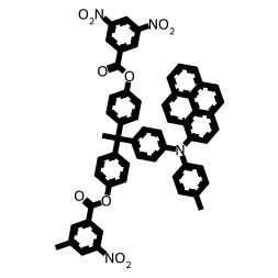 Cc1ccc(N(c2ccc(C(C)(c3ccc(OC(=O)c4cc(C)cc([N+](=O)[O-])c4)cc3)c3ccc(OC(=O)c4cc([N+](=O)[O-])cc([N+](=O)[O-])c4)cc3)cc2)c2ccc3ccc4cccc5ccc2c3c45)cc1